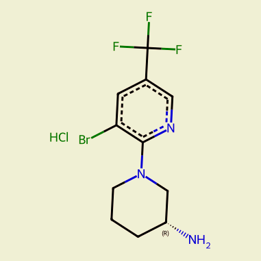 Cl.N[C@@H]1CCCN(c2ncc(C(F)(F)F)cc2Br)C1